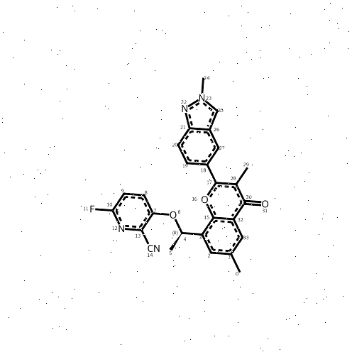 Cc1cc([C@@H](C)Oc2ccc(F)nc2C#N)c2oc(-c3ccc4nn(C)cc4c3)c(C)c(=O)c2c1